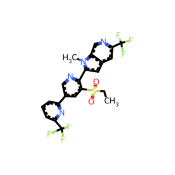 CCS(=O)(=O)c1cc(-c2cccc(C(F)(F)F)n2)cnc1-c1cc2cc(C(F)(F)F)ncc2n1C